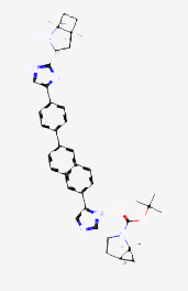 CC(C)(C)OC(=O)N1[C@@H]2C[C@@H]2C[C@H]1c1ncc(-c2ccc3cc(-c4ccc(-c5c[nH]c([C@@H]6C[C@H]7CC[C@H]7N6)n5)cc4)ccc3c2)[nH]1